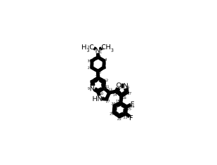 CN(C)C1CCC(c2cnc3c(c2)C(c2oncc2-c2cccc(F)c2F)CN3)CC1